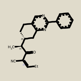 CC/C=C(/C#N)C(=O)[C@@H](C)[C@@H]1CCc2cnc(-c3ccccc3)nc2C1